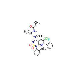 C=CC(=O)N1C[C@H](C)N(C2=NS(=O)(=O)N(c3ccccc3CCCC)c3nc(-c4ccccc4F)c(Cl)cc32)C[C@H]1C